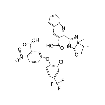 CC(C)C1(C)N=C(c2nc3ccccc3cc2C(=O)O)NC1=O.O=C(O)c1cc(Oc2ccc(C(F)(F)F)cc2Cl)ccc1[N+](=O)[O-]